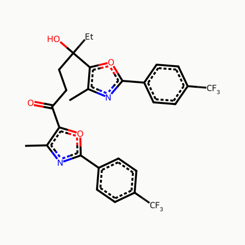 CCC(O)(CCC(=O)c1oc(-c2ccc(C(F)(F)F)cc2)nc1C)c1oc(-c2ccc(C(F)(F)F)cc2)nc1C